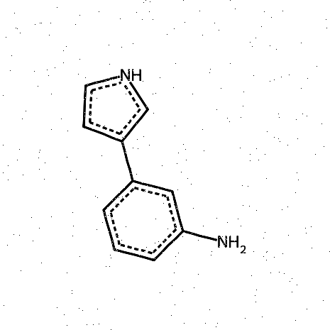 Nc1cccc(-c2cc[nH]c2)c1